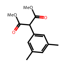 COC(=O)C(C(=O)OC)c1cc(C)cc(C)c1